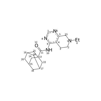 CCN1CCc2c(ncnc2NC(=O)C23CC4CC(CC(C4)C2)C3)C1